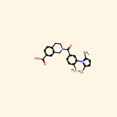 Cc1ccc(C(=O)N2CCc3ccc(C(=O)O)cc3C2)cc1-n1c(C)ccc1C